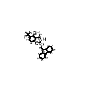 C[C@@H](NC(=O)OCC1c2ccccc2-c2ccccc21)c1cccc(C(F)(F)F)c1O